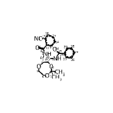 CC1(C)OCCO[C@H](CNC(=O)c2ccccc2C#N)[C@H](CNC(=O)c2ccccc2)O1